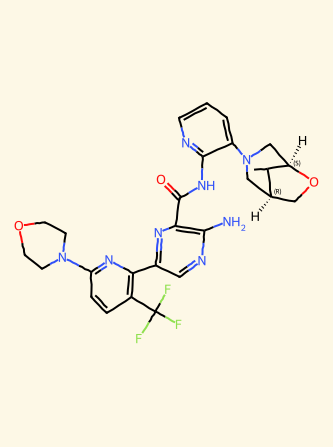 CC1[C@H]2CO[C@@H]1CN(c1cccnc1NC(=O)c1nc(-c3nc(N4CCOCC4)ccc3C(F)(F)F)cnc1N)C2